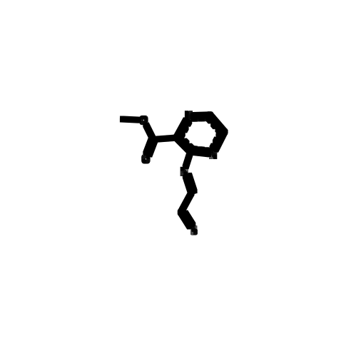 COC(=O)c1nccnc1N=CC=S